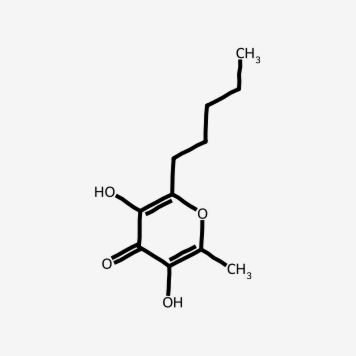 CCCCCc1oc(C)c(O)c(=O)c1O